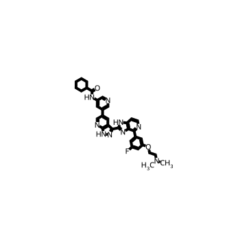 CN(C)CCOc1cc(F)cc(-c2nccc3[nH]c(-c4n[nH]c5ncc(-c6cncc(NC(=O)C7CCCCC7)c6)cc45)nc23)c1